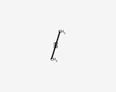 CCCCCCCCCCCCCCCCCOC(=O)C=CC(=O)OCCCCCCCCCCCCCCCCC